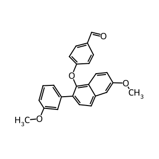 COc1cccc(-c2ccc3cc(OC)ccc3c2Oc2ccc(C=O)cc2)c1